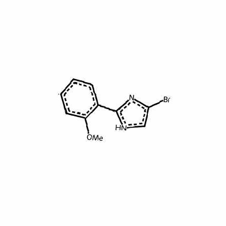 COc1c[c]ccc1-c1nc(Br)c[nH]1